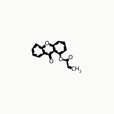 C=CC(=O)Oc1cccc2oc3ccccc3c(=O)c12